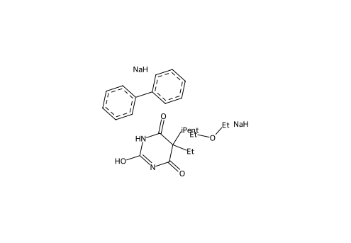 CCCC(C)C1(CC)C(=O)N=C(O)NC1=O.CCOCC.[NaH].[NaH].c1ccc(-c2ccccc2)cc1